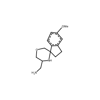 COc1ccc2c(c1)CCC21COCC(CN)N1